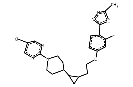 Cc1nnc(-c2ccc(OCCC3CC3C3CCN(c4ncc(Cl)cn4)CC3)cc2F)o1